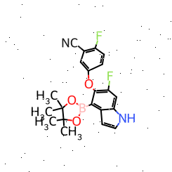 CC1(C)OB(c2c(Oc3ccc(F)c(C#N)c3)c(F)cc3[nH]ccc23)OC1(C)C